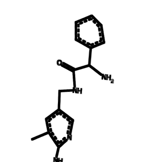 Cc1cc(CNC(=O)C(N)c2ccccc2)cnc1N